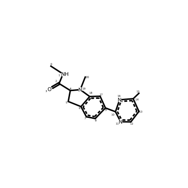 CNC(=O)C1Cc2ccc(-c3nccc(C)n3)cc2N1C